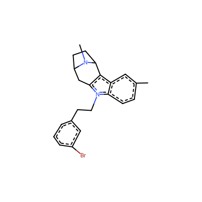 Cc1ccc2c(c1)c1c(n2CCc2cccc(Br)c2)CC2CCC1N2C